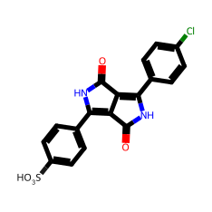 O=C1NC(c2ccc(S(=O)(=O)O)cc2)=C2C(=O)NC(c3ccc(Cl)cc3)=C12